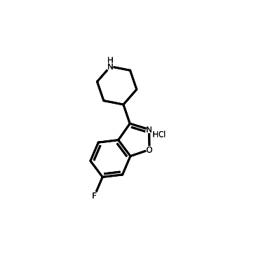 Cl.Fc1ccc2c(C3CCNCC3)noc2c1